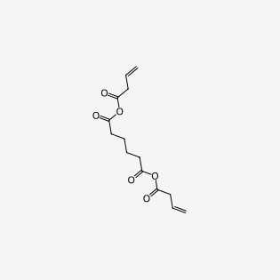 C=CCC(=O)OC(=O)CCCCC(=O)OC(=O)CC=C